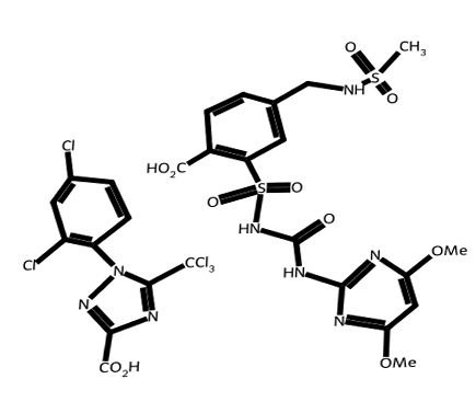 COc1cc(OC)nc(NC(=O)NS(=O)(=O)c2cc(CNS(C)(=O)=O)ccc2C(=O)O)n1.O=C(O)c1nc(C(Cl)(Cl)Cl)n(-c2ccc(Cl)cc2Cl)n1